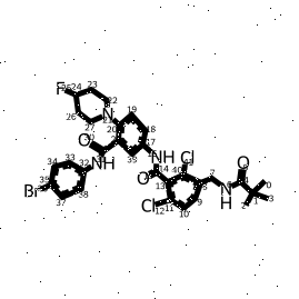 CC(C)(C)C(=O)NCc1ccc(Cl)c(C(=O)Nc2ccc(N3CCC(F)CC3)c(C(=O)Nc3ccc(Br)cc3)c2)c1Cl